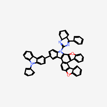 C1=CC2N=C(n3c4ccc(-c5ccc6c(c5)c5ccccc5n6-c5ccccc5)cc4c4c5ccc6oc7ccccc7c6c5c5c6ccccc6oc5c43)N=C(c3ccccc3)C2C=C1